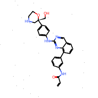 C=CC(=O)Nc1cccc(-c2cccc3cnc(Nc4ccc([C@]5(CO)CNCCO5)cc4)nc23)c1